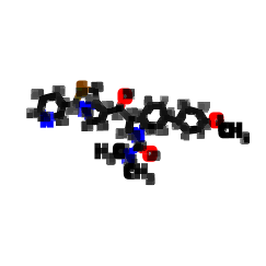 COc1ccc(-c2ccc3c(C(=O)c4ccn5c4CSC5c4cccnc4)cn(C(=O)N(C)C)c3c2)cc1